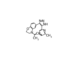 C=C(C)N1CCOc2ccc(-c3nn[nH]c3-c3cccc(C)n3)cc21